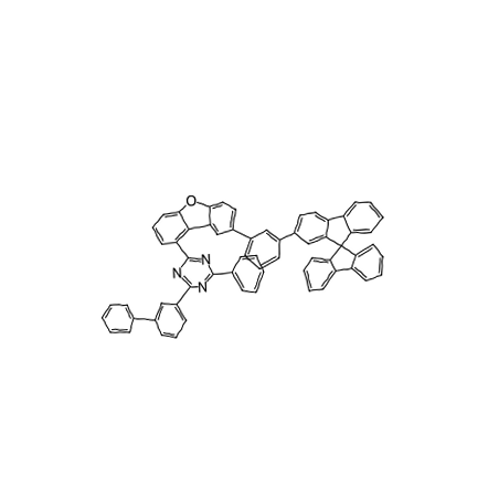 c1ccc(-c2cccc(-c3nc(-c4ccccc4)nc(-c4cccc5oc6ccc(-c7cccc(-c8ccc9c(c8)C8(c%10ccccc%10-c%10ccccc%108)c8ccccc8-9)c7)cc6c45)n3)c2)cc1